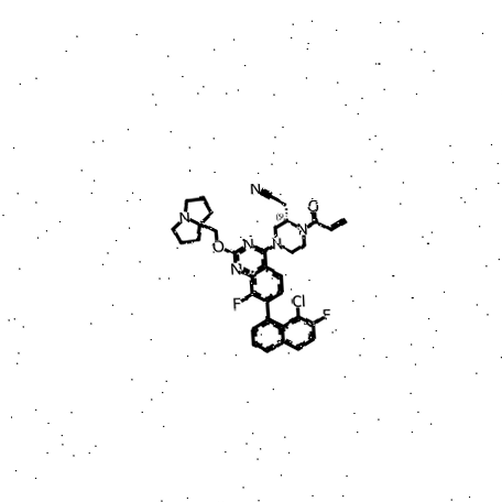 C=CC(=O)N1CCN(c2nc(OCC34CCCN3CCC4)nc3c(F)c(-c4cccc5ccc(F)c(Cl)c45)ccc23)C[C@@H]1CC#N